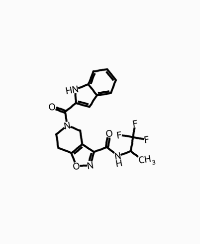 CC(NC(=O)c1noc2c1CN(C(=O)c1cc3ccccc3[nH]1)CC2)C(F)(F)F